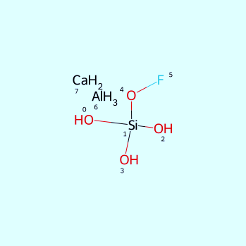 O[Si](O)(O)OF.[AlH3].[CaH2]